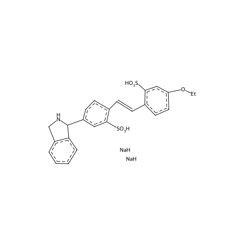 CCOc1ccc(C=Cc2ccc(C3NCc4ccccc43)cc2S(=O)(=O)O)c(S(=O)(=O)O)c1.[NaH].[NaH]